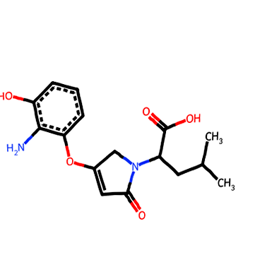 CC(C)CC(C(=O)O)N1CC(Oc2cccc(O)c2N)=CC1=O